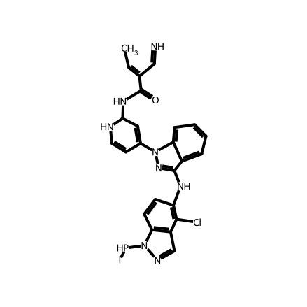 C/C=C(\C=N)C(=O)NC1C=C(n2nc(Nc3ccc4c(cnn4PI)c3Cl)c3ccccc32)C=CN1